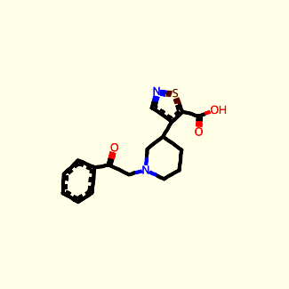 O=C(CN1CCCC(c2cnsc2C(=O)O)C1)c1ccccc1